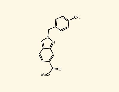 COC(=O)c1ccc2cn(Cc3ccc(C(F)(F)F)cc3)nc2c1